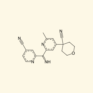 Cc1cc(C2(C#N)CCOCC2)cc(C(=N)c2cc(C#N)ccn2)n1